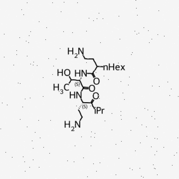 CCCCCCC(CCN)C(=O)N[C@H](C(=O)N[C@@H](CCN)C(=O)C(C)C)C(C)O